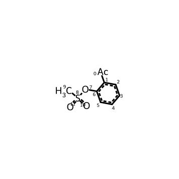 CC(=O)c1ccccc1OS(C)(=O)=O